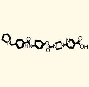 O=C(O)c1ccc(N2CCN(C(=O)Oc3ccc(NC(=O)c4ccc(CN5CCCCC5)cc4)cc3)CC2)nc1